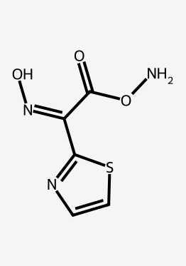 NOC(=O)C(=NO)c1nccs1